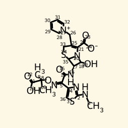 CNc1nc(/C(=N/OC(C)(C)C(=O)O)C(=O)N[C@@H]2C(O)N3C(C(=O)[O-])=C(C[n+]4ccccc4)CSC23)cs1